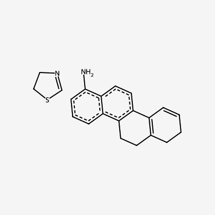 C1=NCCS1.Nc1cccc2c3c(ccc12)C1=C(CCC=C1)CC3